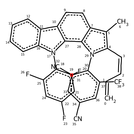 C=C/C=C\c1c(C)c2ccc3c4ccccc4n(-c4c(F)cc(F)cc4F)c3c2n1-c1c(C#N)cc(C#N)cc1C(F)(F)F